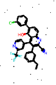 CCc1cccc(-c2c(C#N)nc3ccc(-c4cccc(Cl)c4)c(O)c3c2-c2ccnc(C(F)(F)F)c2)c1